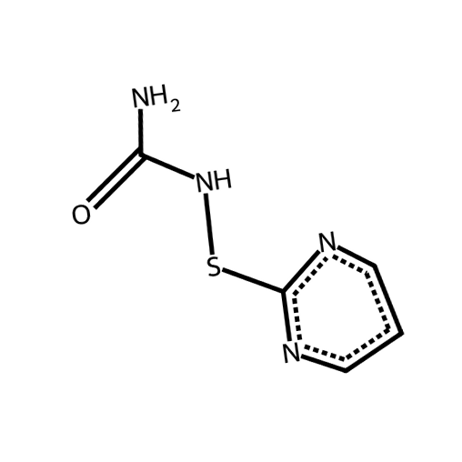 NC(=O)NSc1ncccn1